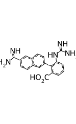 N=C(N)Nc1cccc(C(=O)O)c1-c1ccc2cc(C(=N)N)ccc2c1